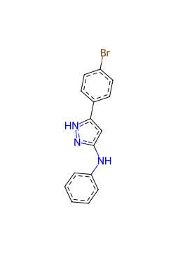 Brc1ccc(-c2cc(Nc3ccccc3)n[nH]2)cc1